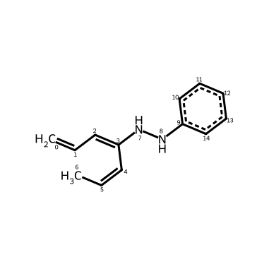 C=C/C=C(\C=C/C)NNc1ccccc1